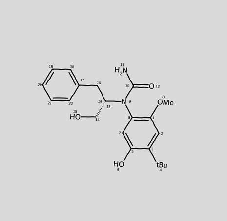 COc1cc(C(C)(C)C)c(O)cc1N(C(N)=O)[C@H](CO)Cc1ccccc1